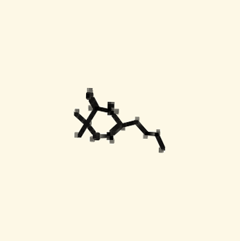 CCCCC1=NOC(C)(C)C(=O)N1